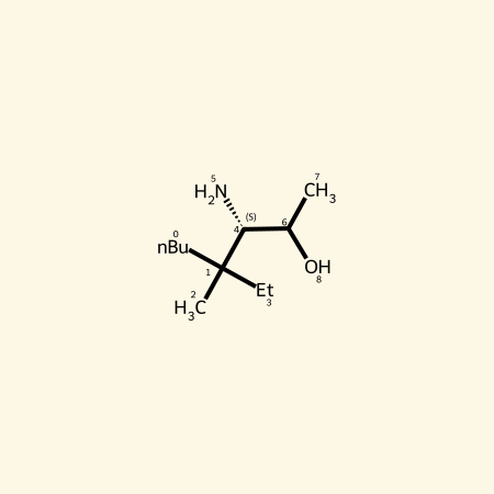 CCCCC(C)(CC)[C@H](N)C(C)O